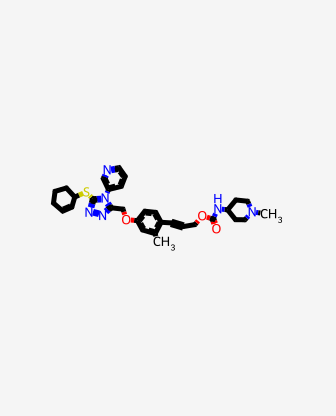 Cc1cc(OCc2nnc(SC3C=CCCC3)n2-c2cccnc2)ccc1C#CCOC(=O)NC1CCN(C)CC1